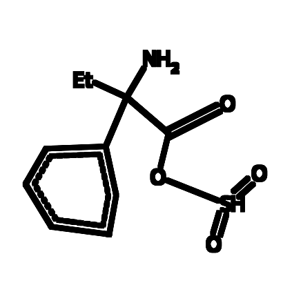 CCC(N)(C(=O)O[SH](=O)=O)c1ccccc1